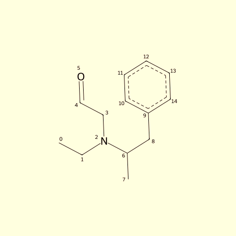 CCN(CC=O)C(C)Cc1ccccc1